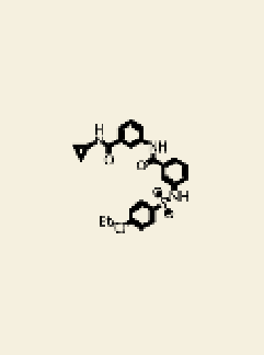 CCOc1ccc(S(=O)(=O)Nc2cccc(C(=O)Nc3cccc(C(=O)NC4CC4)c3)c2)cc1